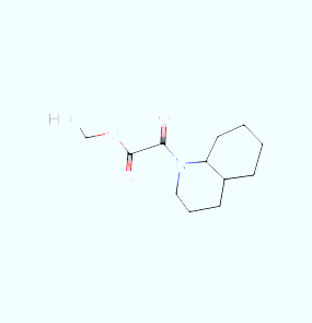 CCOC(=O)C(=O)N1CCCC2CCCCC21